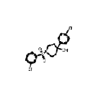 O=S(=O)(c1cccc(Cl)c1)N1CCC(O)(c2ccc(Cl)cc2)CC1